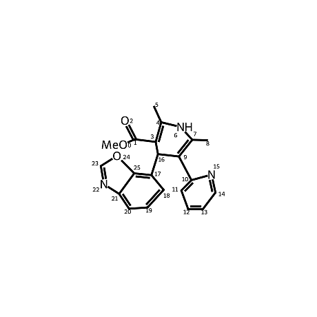 COC(=O)C1=C(C)NC(C)=C(c2ccccn2)C1c1cccc2ncoc12